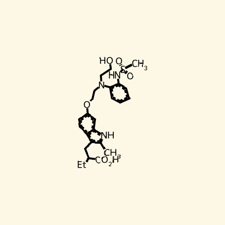 CCC(Cc1c(C)[nH]c2cc(OCCN(CCO)c3ccccc3NS(C)(=O)=O)ccc12)C(=O)O